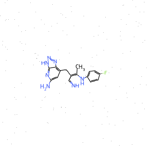 C/C(Nc1ccc(F)cc1)=C(/C=N)Cc1cc(N)nc2[nH]nnc12